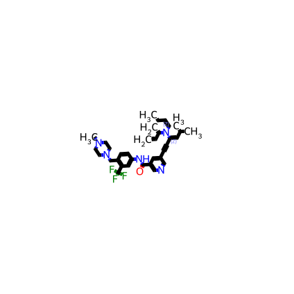 C=CC(=C)N(/C=C\CC)/C(C#Cc1cncc(C(=O)Nc2ccc(CN3CCN(C)CC3)c(C(F)(F)F)c2)c1)=C\C(C)C